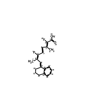 CC(/C=C/C(F)=C(C)\C=C1/CCCc2ccccc21)=C(/F)C(=O)O